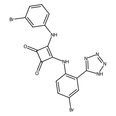 O=c1c(Nc2cccc(Br)c2)c(Nc2ccc(Br)cc2-c2nnn[nH]2)c1=O